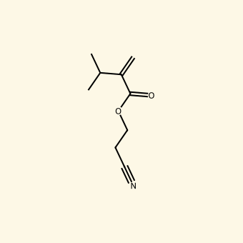 C=C(C(=O)OCCC#N)C(C)C